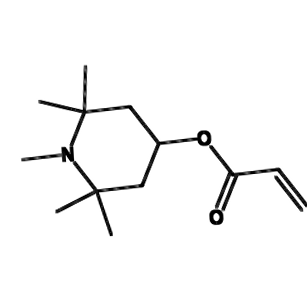 C=CC(=O)OC1CC(C)(C)N(C)C(C)(C)C1